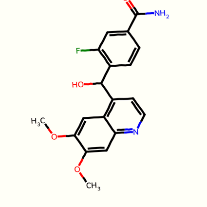 COc1cc2nccc(C(O)c3ccc(C(N)=O)cc3F)c2cc1OC